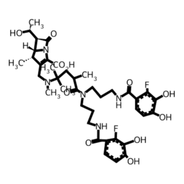 CC(CC(C)(C)N(C)CC1=C(C(=O)O)N2C(=O)[C@H]([C@@H](C)O)[C@H]2[C@H]1C)C(=O)N(CCCNC(=O)c1ccc(O)c(O)c1F)CCCNC(=O)c1ccc(O)c(O)c1F